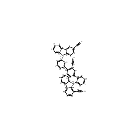 N#Cc1ccc2c(c1)c1ccccc1n2-c1cccc(-c2ccc(-c3ccccc3-n3c4ccccc4c4cccc(C#N)c43)cc2C#N)c1